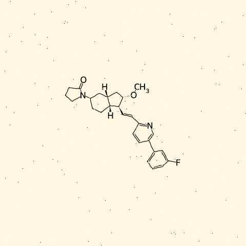 CO[C@H]1C[C@H]2CC(N3CCCC3=O)CC[C@H]2[C@@H]1/C=C/c1ccc(-c2cccc(F)c2)cn1